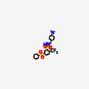 CN(C)c1ccc(CNS(=O)(=O)c2cc(S(=O)(=O)c3ccccc3)ccc2C(F)(F)F)cc1